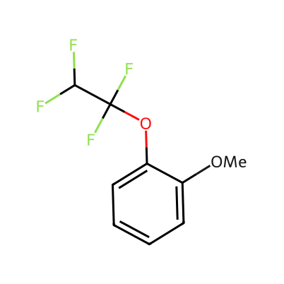 COc1ccccc1OC(F)(F)C(F)F